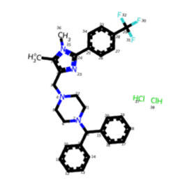 Cc1c(CN2CCN(C(c3ccccc3)c3ccccc3)CC2)nc(-c2ccc(C(F)(F)F)cc2)n1C.Cl.Cl